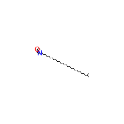 CC(C)CCCCCCCCCCCCCCCCCCCCCCCCCCN=C=O